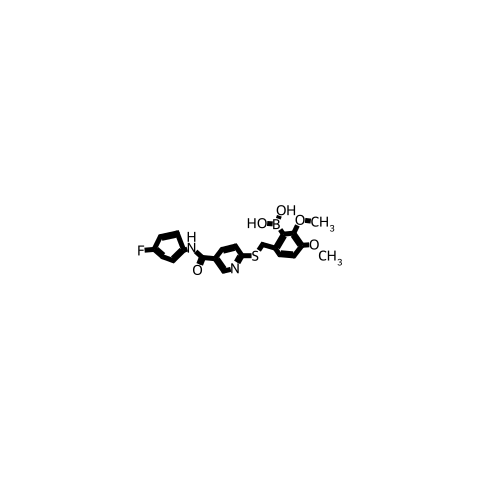 COc1ccc(CSc2ccc(C(=O)Nc3ccc(F)cc3)cn2)c(B(O)O)c1OC